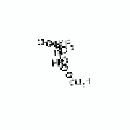 O=C(O)C[C@H]1CC[C@H](c2ccc(NC(=O)CCNC(=O)c3cn(-c4ccc(Cl)cc4)nc3C(F)(F)F)cc2)CC1